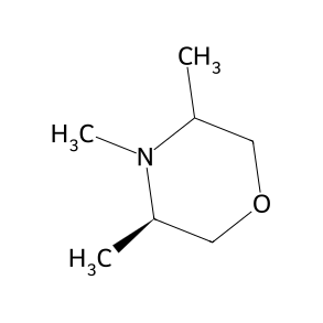 CC1COC[C@@H](C)N1C